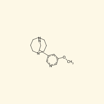 COc1cncc(C2CNC3CCCN2CCC3)c1